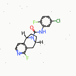 O=C(Nc1cc(Cl)ccc1F)N1[C@@H]2CC[C@H]1c1ccnc(F)c1C2